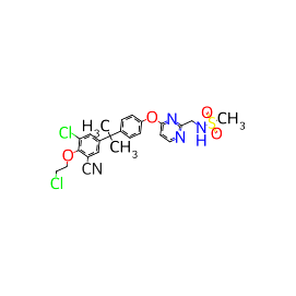 CC(C)(c1ccc(Oc2ccnc(CNS(C)(=O)=O)n2)cc1)c1cc(Cl)c(OCCCl)c(C#N)c1